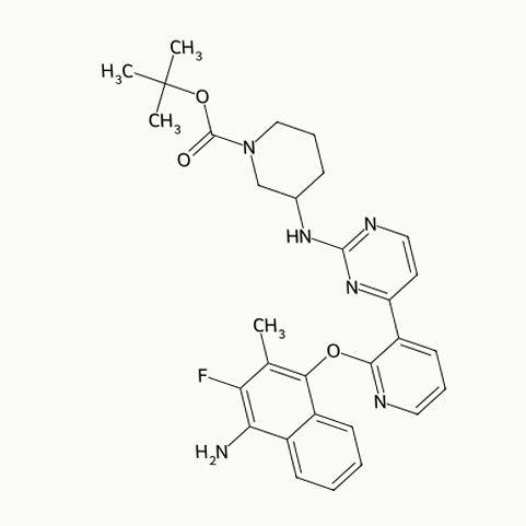 Cc1c(F)c(N)c2ccccc2c1Oc1ncccc1-c1ccnc(NC2CCCN(C(=O)OC(C)(C)C)C2)n1